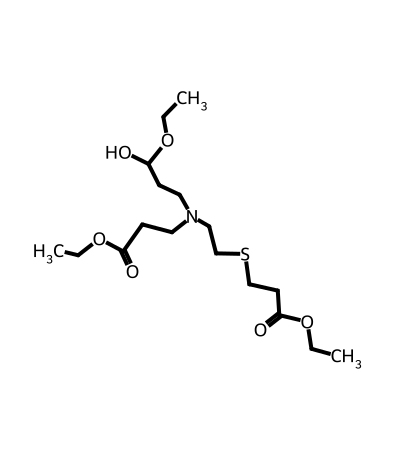 CCOC(=O)CCSCCN(CCC(=O)OCC)CCC(O)OCC